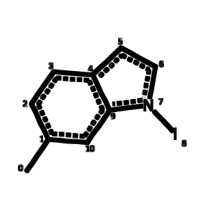 Cc1ccc2ccn(I)c2c1